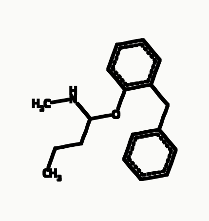 CCCC(NC)Oc1ccccc1Cc1ccccc1